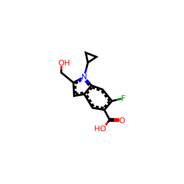 O=C(O)c1cc2cc(CO)n(C3CC3)c2cc1F